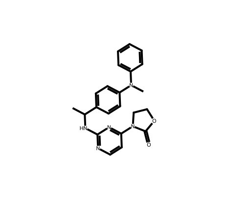 CC(Nc1nccc(N2CCOC2=O)n1)c1ccc(N(C)c2ccccc2)cc1